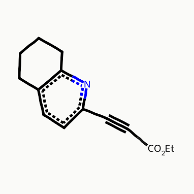 CCOC(=O)C#Cc1ccc2c(n1)CCCC2